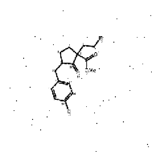 COC(=O)C1(CCBr)CCC(Cc2ccc(Cl)cc2)C1=O